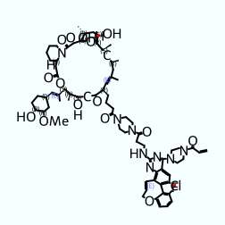 C=CC(=O)N1CCN(c2nc(NCCC(=O)N3CCN(C(=O)CCC[C@@H]4/C=C(\C)C[C@H](C)C[C@H](C)[C@H]5O[C@@](O)(C(=O)C(=O)N6CCCC[C@H]6CC(=O)O[C@H](/C(C)=C/[C@@H]6CC[C@@H](O)[C@H](OC)C6)[C@H](C)[C@@H](O)CC4=O)[C@H](C)C[C@@H]5O)CC3)nc3c4c(c(Cl)cc23)-c2c(F)cccc2OC/C=C/4)CC1